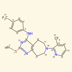 CCCSc1nc2c(c(Nc3ccc(C(F)(F)F)cc3)n1)CCN(c1ncccc1C(F)(F)F)CC2